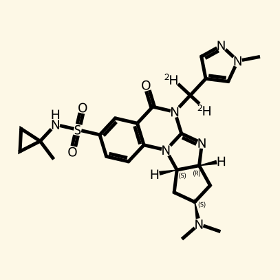 [2H]C([2H])(c1cnn(C)c1)N1C(=O)c2cc(S(=O)(=O)NC3(C)CC3)ccc2N2C1=N[C@@H]1C[C@@H](N(C)C)C[C@@H]12